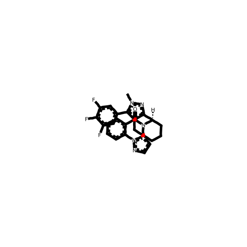 Cn1nc2c(c1-c1cc(F)c(F)c(F)c1)C[C@@H]1CCC[C@H]2N1C(=O)c1ccccc1-n1nccn1